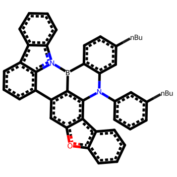 CCCCc1cccc(N2c3cc(CCCC)ccc3B3c4c(cc5oc6ccccc6c5c42)-c2cccc4c5ccccc5n3c24)c1